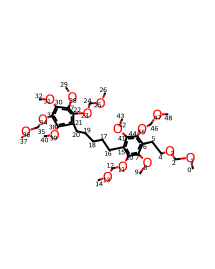 COCOCCc1c(OC)c(OCOC)c(CCCCCc2c(OCOC)c(OC)c(OC)c(OCOC)c2OC)c(OC)c1OCOC